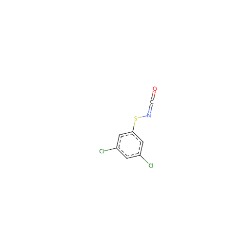 O=C=NSc1cc(Cl)cc(Cl)c1